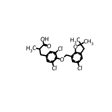 CC(Cc1cc(Cl)c(OCc2cc(Cl)cc3c2OC(C)(C)C3)c(Cl)c1)C(=O)O